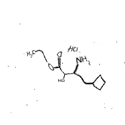 CCOC(=O)C(O)C(N)CC1CCC1.Cl